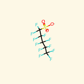 [O]S(=O)(=O)C(F)(F)C(F)(F)C(F)(F)C(F)(F)C(F)(F)F